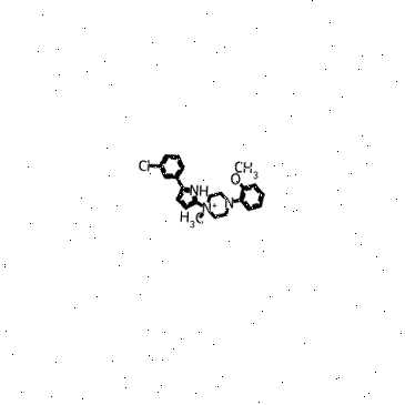 COc1ccccc1N1CC[N+](C)(c2ccc(-c3cccc(Cl)c3)[nH]2)CC1